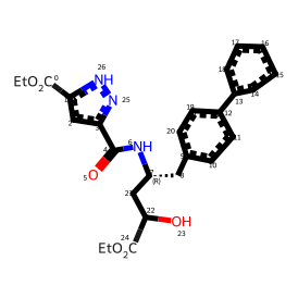 CCOC(=O)c1cc(C(=O)N[C@H](Cc2ccc(-c3ccccc3)cc2)CC(O)C(=O)OCC)n[nH]1